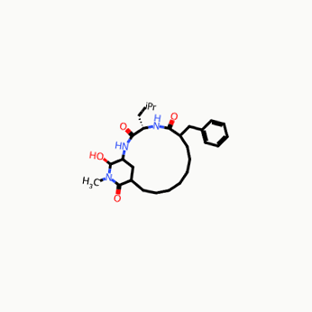 CC(C)C[C@@H]1NC(=O)C(Cc2ccccc2)CCCCCCCC2CC(NC1=O)C(O)N(C)C2=O